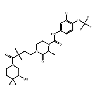 C[C@H]1C(=O)N(CCC(C)(C)C(=O)N2CCC3(CC3)[C@H](O)C2)CCN1C(=O)Nc1ccc(OC(F)(F)F)c(Cl)c1